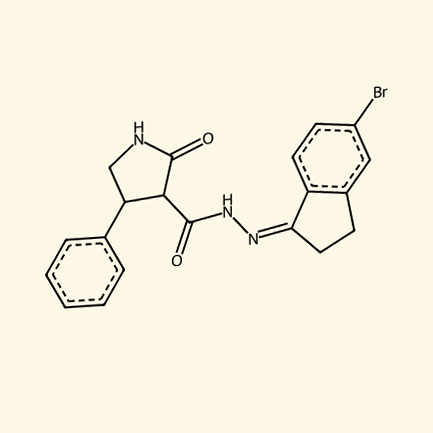 O=C1NCC(c2ccccc2)C1C(=O)N/N=C1/CCc2cc(Br)ccc21